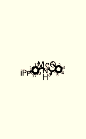 COc1ccccc1C(C)CNCc1ccc(C(C)C)cc1